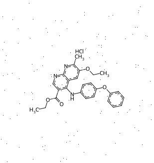 CCOC(=O)c1cnc2nc(C)c(OCC)cc2c1Nc1ccc(Oc2ccccc2)cc1.Cl